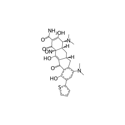 CN(C)c1cc(-c2cccs2)c(O)c2c1C[C@H]1C[C@H]3[C@H](N(C)C)C(O)=C(C(N)=O)C(=O)[C@@]3(N=O)C(O)=C1C2=O